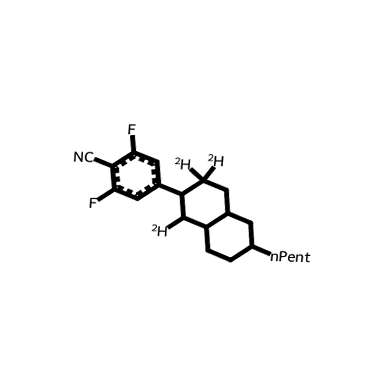 [2H]C1C2CCC(CCCCC)CC2CC([2H])([2H])C1c1cc(F)c(C#N)c(F)c1